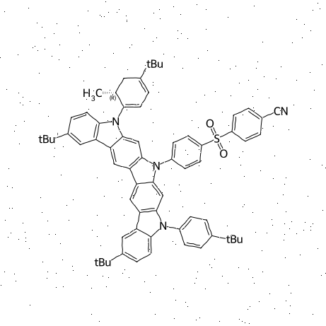 C[C@@H]1CC(C(C)(C)C)=CC=C1n1c2ccc(C(C)(C)C)cc2c2cc3c4cc5c6cc(C(C)(C)C)ccc6n(-c6ccc(C(C)(C)C)cc6)c5cc4n(-c4ccc(S(=O)(=O)c5ccc(C#N)cc5)cc4)c3cc21